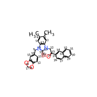 Cc1cc2c(cc1C)N(Cc1ccc3c(c1)OCO3)C(Br)N2CC(=O)c1ccc2ccccc2c1